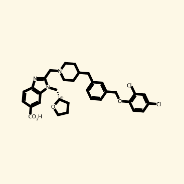 O=C(O)c1ccc2nc(CN3CCC(Cc4cccc(COc5ccc(Cl)cc5Cl)c4)CC3)n(C[C@@H]3CCCO3)c2c1